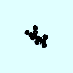 c1ccc(-c2cccc(-c3cc(-c4ccccc4)ccc3-n3c4ccccc4c4c5c6ccccc6n(-c6nc(-c7ccccc7)nc(-c7ccccc7)n6)c5ccc43)c2)cc1